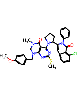 COc1ccc(CN2CN(C)C(=O)c3c2nc(SC)nc3N2CCCC2c2cc3cccc(Cl)c3c(=O)n2-c2ccccc2)cc1